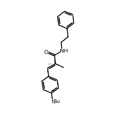 C/C(=C\c1ccc(C(C)(C)C)cc1)C(=O)NCCc1ccccc1